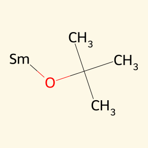 CC(C)(C)[O][Sm]